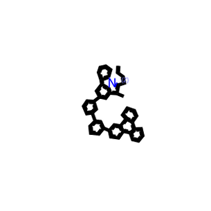 C=C/C=C\c1c(C)c2cc(-c3cccc(-c4cccc(-c5ccc6c7ccccc7c7ccccc7c6c5)c4)c3)cc3c4ccccc4n1c23